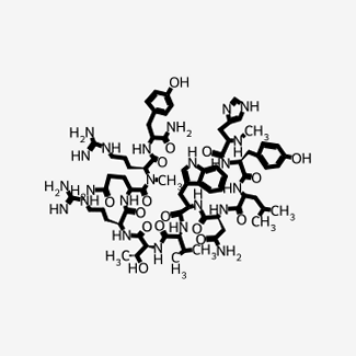 CNC(Cc1c[nH]cn1)C(=O)N[C@@H](Cc1ccc(O)cc1)C(=O)NC(CC(C)C)C(=O)N[C@@H](CC(N)=O)C(=O)NC(Cc1c[nH]c2ccccc12)C(=O)N[C@H](C(=O)N[C@H](C(=O)N[C@@H](CCCNC(=N)N)C(=O)NC(CCC(N)=O)C(=O)N(C)[C@@H](CCCNC(=N)N)C(=O)NC(Cc1ccc(O)cc1)C(N)=O)[C@@H](C)O)C(C)C